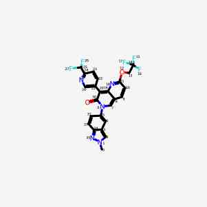 Cn1cc2cc(-n3cc4ccc(OCC(F)(F)F)nc4c(-c4ccc(C(F)F)nc4)c3=O)ccc2n1